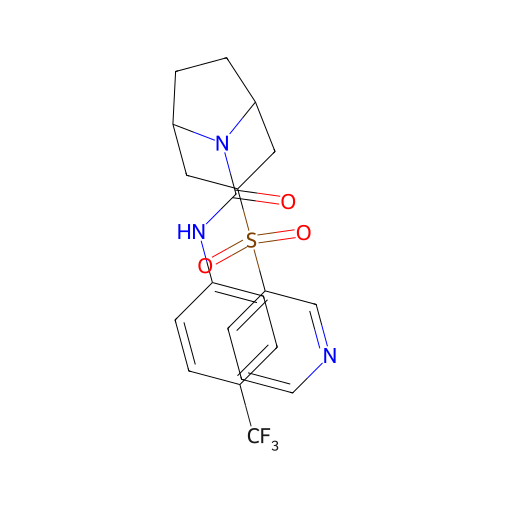 O=C(Nc1ccc(C(F)(F)F)cc1)N1C2CCC1CC(S(=O)(=O)c1cccnc1)C2